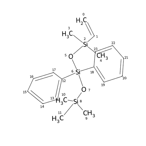 C=C[Si](C)(C)O[Si](O[Si](C)(C)C)(c1ccccc1)c1ccccc1